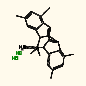 CC1=Cc2c(C)cc(C)cc2[CH]1[Zr]([CH3])([CH3])(=[SiH2])[CH]1C(C)=Cc2c(C)cc(C)cc21.Cl.Cl